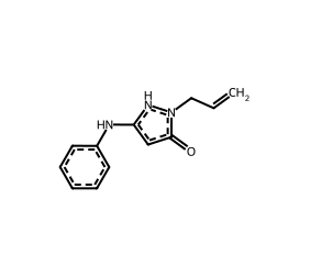 C=CCn1[nH]c(Nc2ccccc2)cc1=O